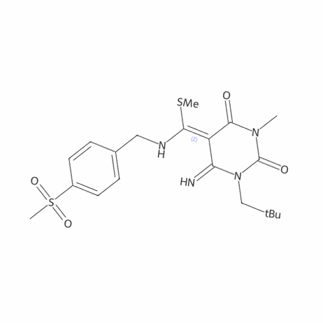 CS/C(NCc1ccc(S(C)(=O)=O)cc1)=C1/C(=N)N(CC(C)(C)C)C(=O)N(C)C1=O